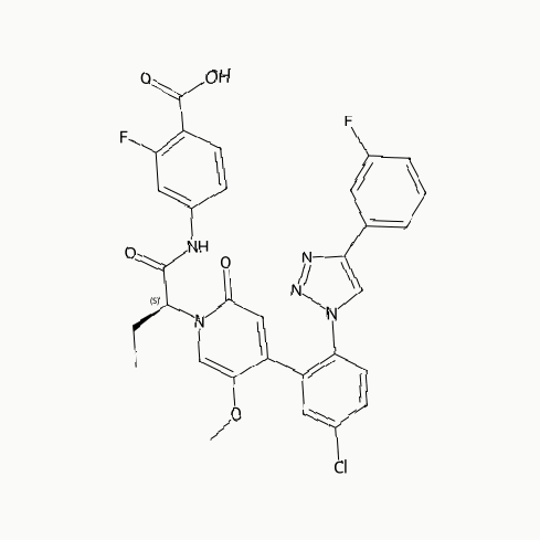 CC[C@@H](C(=O)Nc1ccc(C(=O)O)c(F)c1)n1cc(OC)c(-c2cc(Cl)ccc2-n2cc(-c3cccc(F)c3)nn2)cc1=O